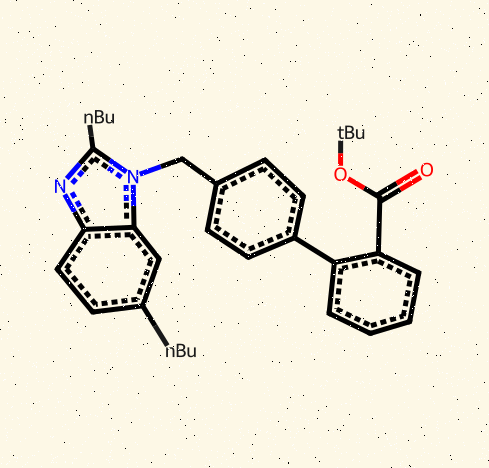 CCCCc1ccc2nc(CCCC)n(Cc3ccc(-c4ccccc4C(=O)OC(C)(C)C)cc3)c2c1